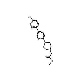 COC(=O)CC1CCC(c2ccc(-c3ccc(Br)cn3)cc2)CC1